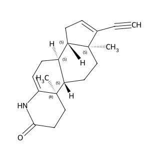 C#CC1=CC[C@H]2[C@@H]3CC=C4NC(=O)CC[C@]4(C)[C@H]3CC[C@]12C